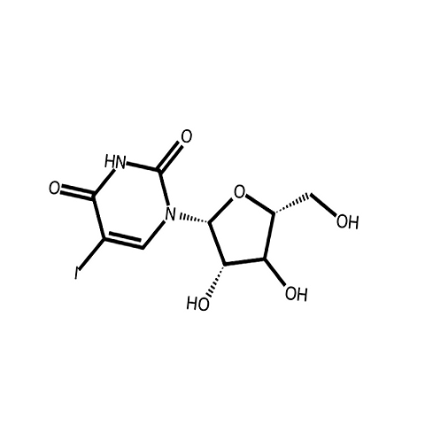 O=c1[nH]c(=O)n([C@@H]2O[C@H](CO)C(O)[C@@H]2O)cc1I